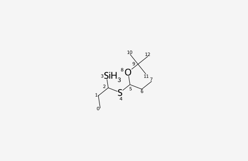 CCC([SiH3])SC(CC)OC(C)(C)C